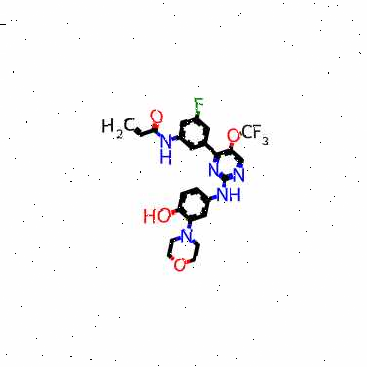 C=CC(=O)Nc1cc(F)cc(-c2nc(Nc3ccc(O)c(N4CCOCC4)c3)ncc2OC(F)(F)F)c1